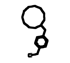 ClCc1ccc(CC2CCCCCCCCCC2)cc1